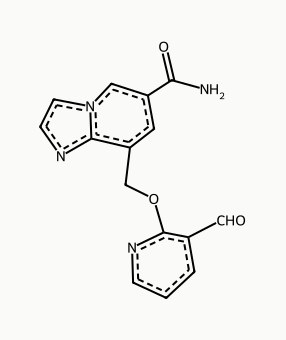 NC(=O)c1cc(COc2ncccc2C=O)c2nccn2c1